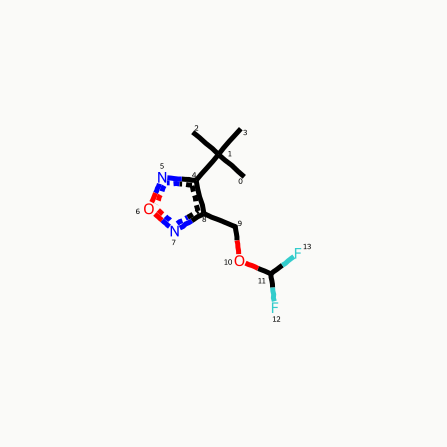 CC(C)(C)c1nonc1COC(F)F